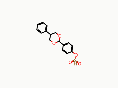 O=[SH](=O)Oc1ccc(C2OCC(c3ccccc3)CO2)cc1